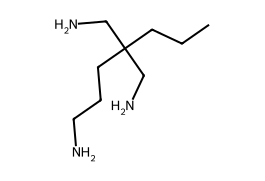 CCCC(CN)(CN)CCCN